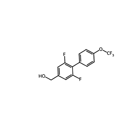 OCc1cc(F)c(-c2ccc(OC(F)(F)F)cc2)c(F)c1